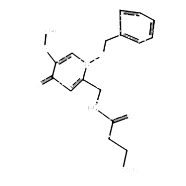 CCCCOc1cn(OCc2ccccc2)c(CNC(=O)CCC(=O)O)cc1=O